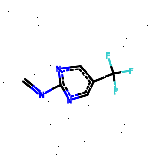 C=Nc1ncc(C(F)(F)F)cn1